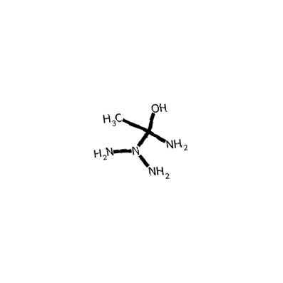 CC(N)(O)N(N)N